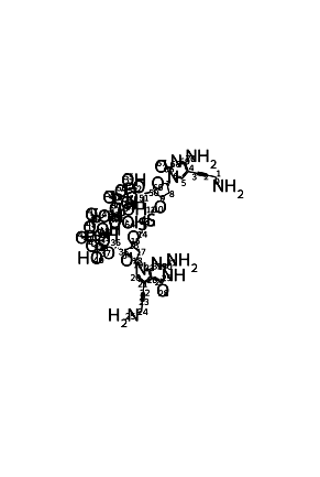 NCC#Cc1cn([C@H]2CC(OCSSCOC3C[C@H](n4cc(C#CCN)c5c(=O)[nH]c(N)nc54)O[C@@H]3COP(=O)(O)OP(=O)(O)OP(=O)(O)O)[C@@H](COP(=O)(O)OP(=O)(O)OP(=O)(O)O)O2)c(=O)nc1N